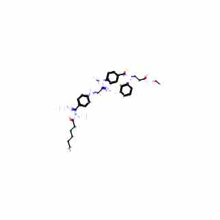 CCOC(=O)CCN(C(=O)c1ccc2c(c1)nc(CNc1ccc(C(=N)NC(=O)CCCCC[18F])cc1)n2C)c1ccccc1